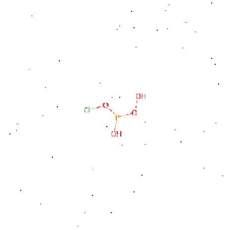 OOP(O)OCl